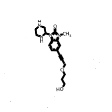 Cn1c(=O)n(C2CNCCN2)c2ccc(C#CCOCCCO)cc21